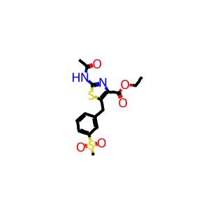 CCOC(=O)c1nc(NC(C)=O)sc1Cc1cccc(S(C)(=O)=O)c1